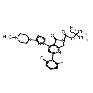 CN1CCN(c2ccn(-c3cc(-c4c(F)cccc4F)nc4c3C(=O)N(C(=O)OC(C)(C)C)C4)n2)CC1